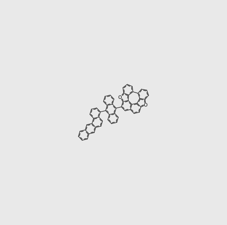 c1ccc2cc3c(ccc4c(-c5c6ccccc6c(-c6cc7ccc8oc9cccc%10c9c8c7c7c6oc6cccc-%10c67)c6ccccc56)cccc43)cc2c1